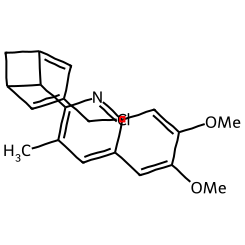 COc1cc2cc(C)c(C3C4=CC(CCl)=CC3C4)nc2cc1OC